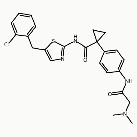 CN(C)CC(=O)Nc1ccc(C2(C(=O)Nc3ncc(Cc4ccccc4Cl)s3)CC2)cc1